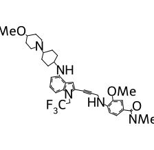 CNC(=O)c1ccc(NCC#Cc2cc3c(NC4CCC(N5CCC(OC)CC5)CC4)cccc3n2CC(F)(F)F)c(OC)c1